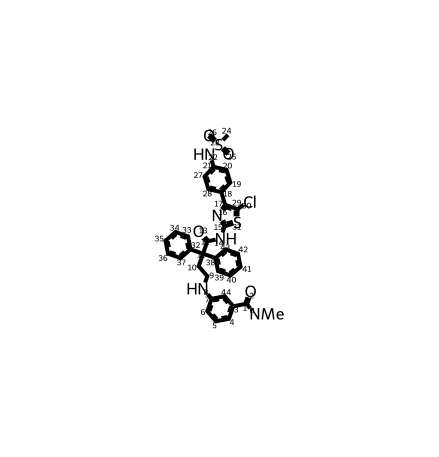 CNC(=O)c1cccc(NCCC(C(=O)Nc2nc(-c3ccc(NS(C)(=O)=O)cc3)c(Cl)s2)(c2ccccc2)c2ccccc2)c1